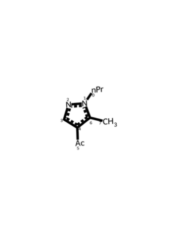 CCCn1ncc(C(C)=O)c1C